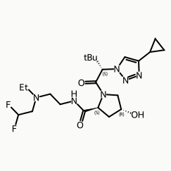 CCN(CCNC(=O)[C@@H]1C[C@@H](O)CN1C(=O)[C@@H](n1cc(C2CC2)nn1)C(C)(C)C)CC(F)F